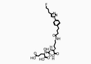 O=C(O)CCC(C(=O)O)N(O)C(=O)N[C@@H](CCCCNC(=O)CCCc1ccc(-n2cc(CCCF)nn2)cc1)C(=O)O